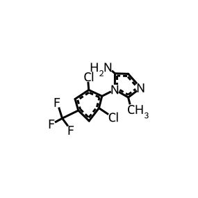 Cc1ncc(N)n1-c1c(Cl)cc(C(F)(F)F)cc1Cl